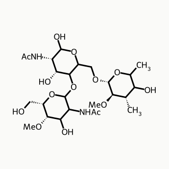 CO[C@H]1[C@H](OCC2OC(O)[C@@H](NC(C)=O)[C@@H](O)C2OC2O[C@@H](CO)[C@@H](OC)C(O)C2NC(C)=O)OC(C)C(O)[C@@H]1C